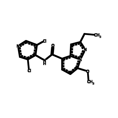 CCc1cc2c(C(=O)Nc3c(Cl)cncc3Cl)ccc(OC)n2n1